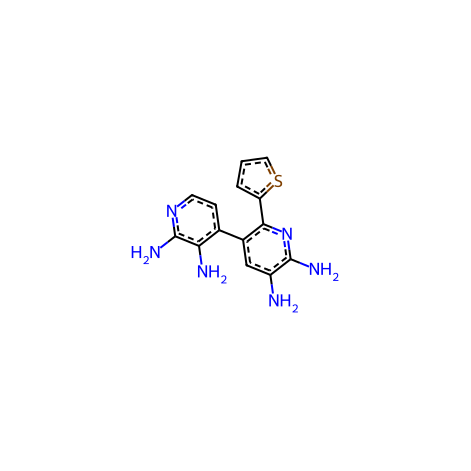 Nc1cc(-c2ccnc(N)c2N)c(-c2cccs2)nc1N